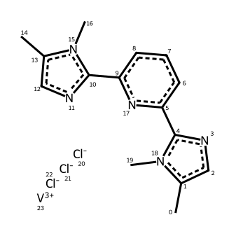 Cc1cnc(-c2cccc(-c3ncc(C)n3C)n2)n1C.[Cl-].[Cl-].[Cl-].[V+3]